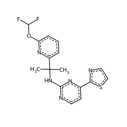 CC(C)(Nc1nccc(-c2nccs2)n1)c1cccc(OC(F)F)n1